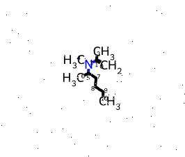 C=C(C)N(C)C(C)CCCC